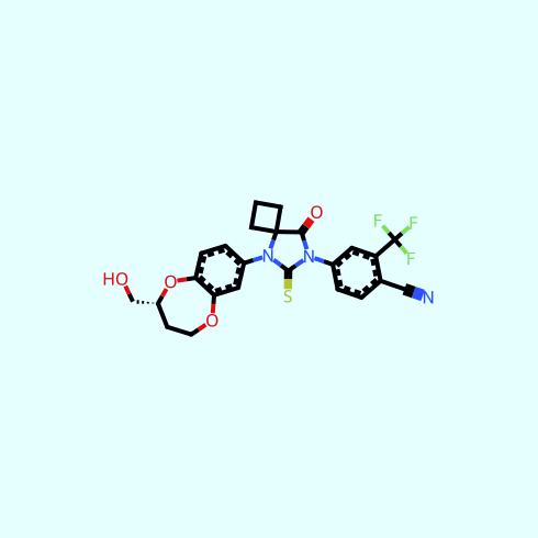 N#Cc1ccc(N2C(=O)C3(CCC3)N(c3ccc4c(c3)OCC[C@H](CO)O4)C2=S)cc1C(F)(F)F